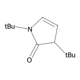 CC(C)(C)C1C=CN(C(C)(C)C)C1=O